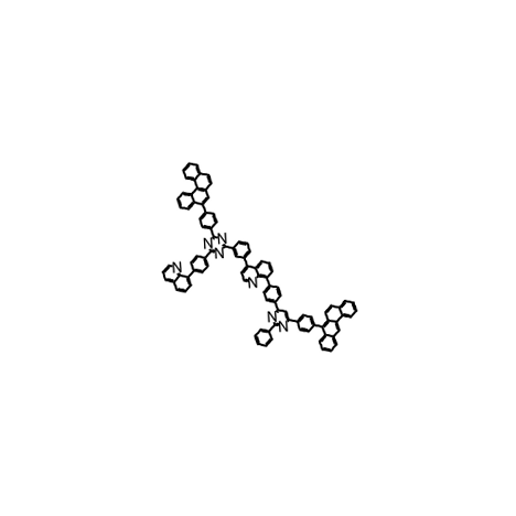 c1ccc(-c2nc(-c3ccc(-c4c5ccccc5cc5c4ccc4ccccc45)cc3)cc(-c3ccc(-c4cccc5c(-c6cccc(-c7nc(-c8ccc(-c9cc%10ccc%11ccccc%11c%10c%10ccccc9%10)cc8)nc(-c8ccc(-c9cccc%10cccnc9%10)cc8)n7)c6)ccnc45)cc3)n2)cc1